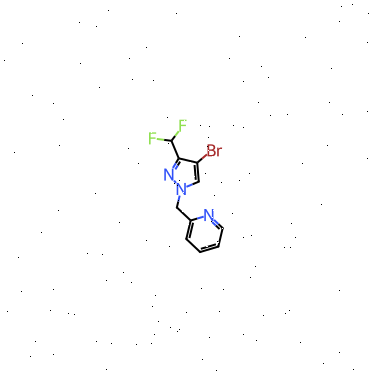 FC(F)c1nn(Cc2ccccn2)cc1Br